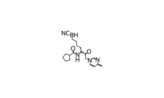 C=C1C=CN(CC(=O)[C@H](CCCCBC#N)NC(=O)C2CCCC2)C=N1